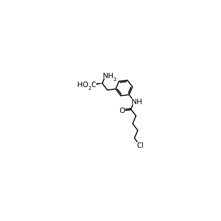 N[C@@H](Cc1cccc(NC(=O)CCCCCl)c1)C(=O)O